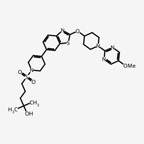 COc1cnc(N2CCC(Oc3nc4ccc(C5=CCN(S(=O)(=O)CCCC(C)(C)O)CC5)cc4s3)CC2)nc1